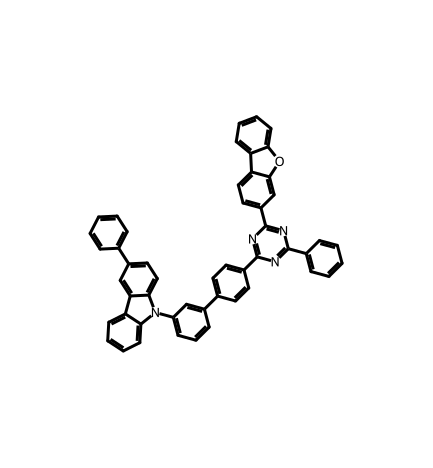 c1ccc(-c2ccc3c(c2)c2ccccc2n3-c2cccc(-c3ccc(-c4nc(-c5ccccc5)nc(-c5ccc6c(c5)oc5ccccc56)n4)cc3)c2)cc1